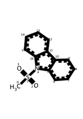 CS(=O)(=O)n1c2ccccc2c2ccccc21